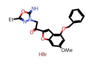 Br.CCc1nn(CC(=O)c2cc3c(OCc4ccccc4)cc(OC)cc3o2)c(=N)o1